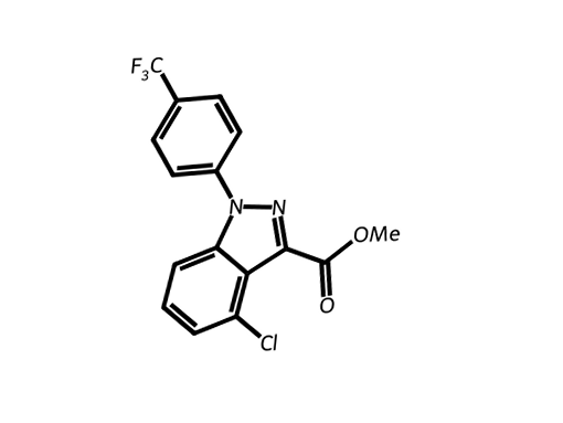 COC(=O)c1nn(-c2ccc(C(F)(F)F)cc2)c2cccc(Cl)c12